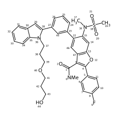 CNC(=O)c1c(-c2ccc(F)cc2)oc2cc(N(C)S(C)(=O)=O)c(-c3cccc(-c4cc5ccccc5n4CCCOCCCO)c3)cc12